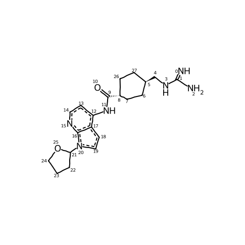 N=C(N)NC[C@H]1CC[C@H](C(=O)Nc2ccnc3c2ccn3C2CCCO2)CC1